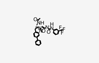 CC(=O)NC[C@@H](Cc1ccc(-c2ccccc2)cc1)[n+]1cc([N-]C(=O)Nc2cccc(C(F)(F)F)c2)on1